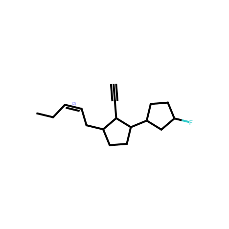 C#CC1C(C/C=C\CC)CCC1C1CCC(F)C1